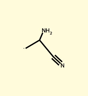 [CH2]C(N)C#N